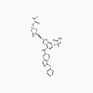 CN(C)C(=O)O[C@H]1CN[C@H](C#Cc2cc3c(Nc4ccc5c(cnn5Cc5ccccc5)c4)ncnc3s2)C1.O=C(O)C(F)(F)F